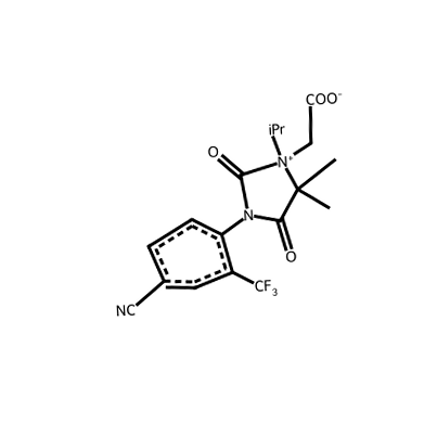 CC(C)[N+]1(CC(=O)[O-])C(=O)N(c2ccc(C#N)cc2C(F)(F)F)C(=O)C1(C)C